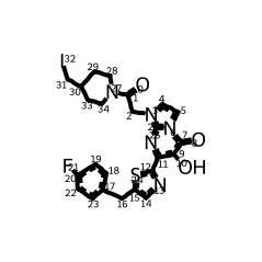 O=C(Cn1ccn2c(=O)c(O)c(-c3ncc(Cc4ccc(F)cc4)s3)nc12)N1CCC(CI)CC1